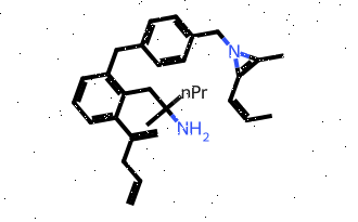 C=CCC(=C)c1cccc(Cc2ccc(CN3C(C)=C3/C=C\C)cc2)c1CC(C)(N)CCC